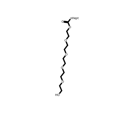 CCCCCCCC(=O)OCCOCCOCCOCCOCCO